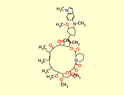 CCC1/C=C(\C)CC(C)CC(OC)C2OC(O)(C(=O)C(=O)N3CCCCC3C(=O)OC(C(C)=CC3CCC(N(C)c4ccc5c(ccn5C)c4)C(OC)C3)C(C)C(O)CC1=O)C(C)CC2OC